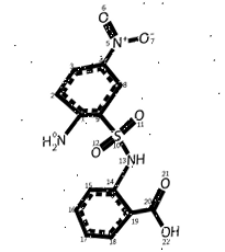 Nc1ccc([N+](=O)[O-])cc1S(=O)(=O)Nc1ccccc1C(=O)O